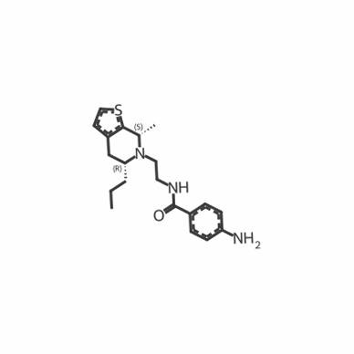 CCC[C@@H]1Cc2ccsc2[C@H](C)N1CCNC(=O)c1ccc(N)cc1